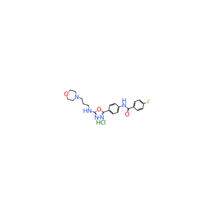 Cl.O=C(Nc1ccc(-c2nnc(NCCCN3CCOCC3)o2)cc1)c1ccc(F)cc1